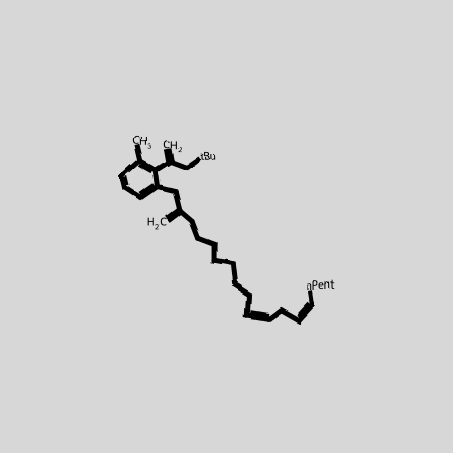 C=C(CCCCCCC/C=C\C/C=C\CCCCC)Cc1cccc(C)c1C(=C)CC(C)(C)C